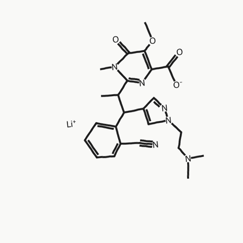 COc1c(C(=O)[O-])nc(C(C)C(c2cnn(CCN(C)C)c2)c2ccccc2C#N)n(C)c1=O.[Li+]